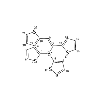 C(=C(/B(c1cccs1)c1cccs1)c1cccs1)/c1cccs1